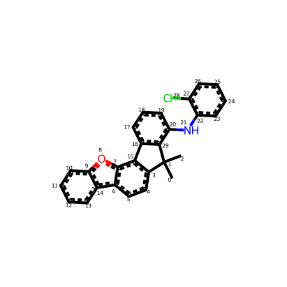 CC1(C)c2ccc3c(oc4ccccc43)c2-c2cccc(Nc3ccccc3Cl)c21